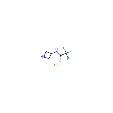 Cl.O=C(NC1CNC1)C(F)(F)F